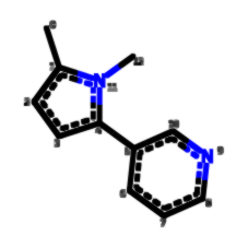 Cc1ccc(-c2cccnc2)n1C